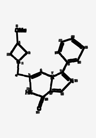 COC1CN(Cc2cn3c(-c4ccccc4)ncc3c(=O)[nH]2)C1